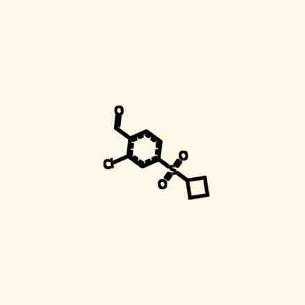 O=Cc1ccc(S(=O)(=O)C2CCC2)cc1Cl